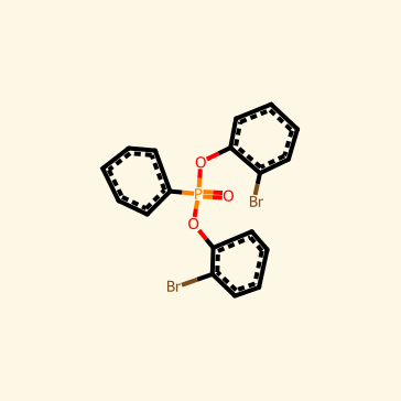 O=P(Oc1ccccc1Br)(Oc1ccccc1Br)c1ccccc1